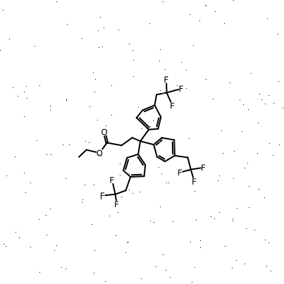 CCOC(=O)CCC(c1ccc(CC(F)(F)F)cc1)(c1ccc(CC(F)(F)F)cc1)c1ccc(CC(F)(F)F)cc1